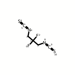 FC(F)(CN=C=S)CN=C=S